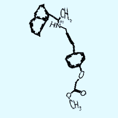 COC(=O)COc1ccc(C#CCN[C@H](C)c2cccc3ccccc23)cc1